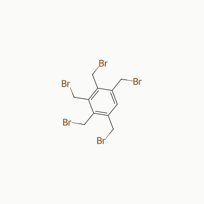 BrCc1cc(CBr)c(CBr)c(CBr)c1CBr